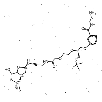 CC(C)(C)SSC(COc1cccc(C(=O)NCCN)c1)OCCOCC(=O)NCC#CB[C@H]1C[C@@H](O[C@@H](N)F)C(CO)O1